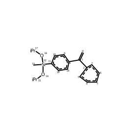 C=C(c1ccccc1)c1ccc([Si](C)(OC(C)C)OC(C)C)cc1